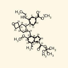 CCNc1cc(C(=O)OC)ccc1C1CC2(CCN1Cc1c(OC)cc(C)c3c1ccn3C(=O)OC(C)(C)C)COC2